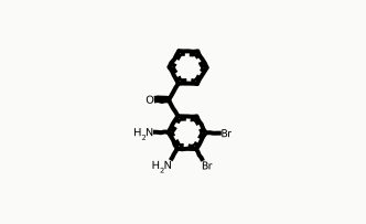 Nc1c(C(=O)c2ccccc2)cc(Br)c(Br)c1N